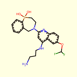 NCCCNc1cc(N2CCS(O)(O)c3ccccc3C2)nc2ccc(OC(F)F)cc12